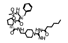 CCCCCC(=O)NC(=N)N1CCC(CNC(=O)[C@@H]2CCCN2C(=O)[C@@H](Cc2ccccc2)NS(C)(=O)=O)CC1